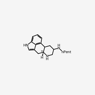 CCCCCNC1CN[C@@H]2Cc3c[nH]c4cccc(c34)C2C1